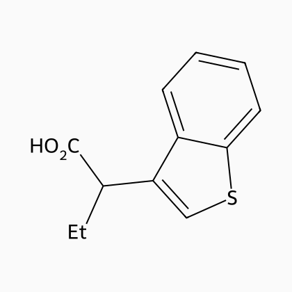 CCC(C(=O)O)c1csc2ccccc12